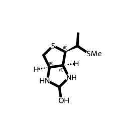 CSC(C)[C@@H]1SC[C@@H]2NC(O)N[C@@H]21